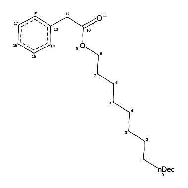 CCCCCCCCCCCCCCCCCCOC(=O)Cc1ccccc1